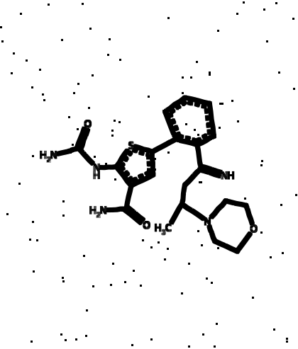 CC(CC(=N)c1ccccc1-c1cc(C(N)=O)c(NC(N)=O)s1)N1CCOCC1